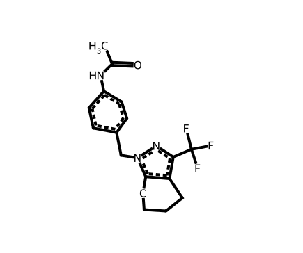 CC(=O)Nc1ccc(Cn2nc(C(F)(F)F)c3c2CCCC3)cc1